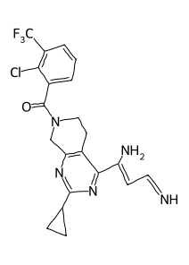 N=C/C=C(\N)c1nc(C2CC2)nc2c1CCN(C(=O)c1cccc(C(F)(F)F)c1Cl)C2